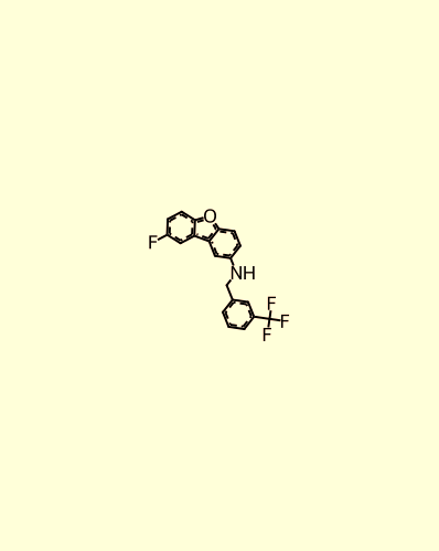 Fc1ccc2oc3ccc(NCc4cccc(C(F)(F)F)c4)cc3c2c1